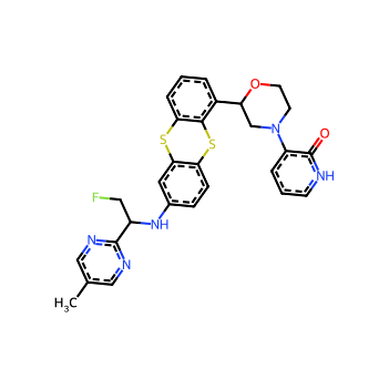 Cc1cnc(C(CF)Nc2ccc3c(c2)Sc2cccc(C4CN(c5ccc[nH]c5=O)CCO4)c2S3)nc1